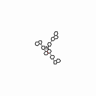 c1ccc(-c2ccc(-c3cccc4ccccc34)cc2N(c2ccc(-c3ccc(-c4cccc5ccccc45)cc3)cc2)c2ccc(-c3ccc4c(ccc5ccccc54)c3)cc2)cc1